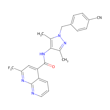 Cc1nn(Cc2ccc(C#N)cc2)c(C)c1NC(=O)c1cc(C(F)(F)F)nc2ncccc12